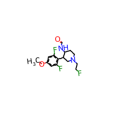 COc1cc(F)c(C2CN(CCF)CCC2NC=O)c(F)c1